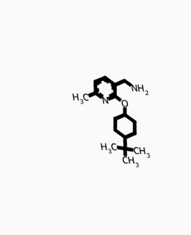 Cc1ccc(CN)c(OC2CCC(C(C)(C)C)CC2)n1